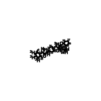 [2H]c1c([2H])c(C)c(NC(=O)C([2H])([2H])N2CCN(CC([2H])(O)C([2H])([2H])Oc3ccccc3OC([2H])([2H])[2H])CC2)c(C)c1[2H]